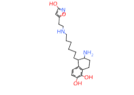 NC1CCc2c(ccc(O)c2O)C1CCCCCCNCCc1cc(O)no1